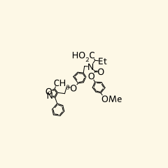 CCC(C(=O)O)N(Cc1ccc(OCCc2c(-c3ccccc3)noc2C)cc1)C(=O)Oc1ccc(OC)cc1